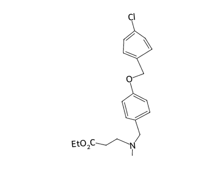 CCOC(=O)CCN(C)Cc1ccc(OCc2ccc(Cl)cc2)cc1